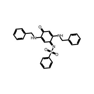 O=C1C=C(NCc2ccccc2)C(=NS(=O)(=O)c2ccccc2)C=C1NCc1ccccc1